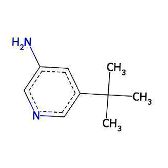 CC(C)(C)c1cncc(N)c1